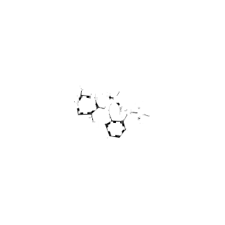 CS(=O)(=O)Nc1ccccc1N(c1nc(Cl)ncc1Cl)S(C)(=O)=O